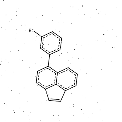 Brc1cccc(-c2ccc3c4c(cccc24)C=C3)c1